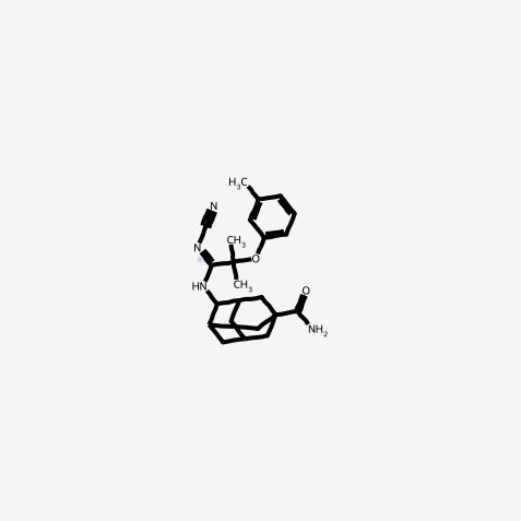 Cc1cccc(OC(C)(C)/C(=N\C#N)NC2C3CC4CC2CC(C(N)=O)(C4)C3)c1